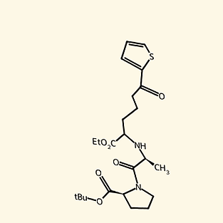 CCOC(=O)C(CCCC(=O)c1cccs1)N[C@@H](C)C(=O)N1CCC[C@H]1C(=O)OC(C)(C)C